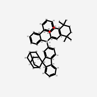 CC1(C)CCC(C)(C)c2cc(N(c3ccc4c(c3)C3(c5ccccc5-4)C4CC5CC(C4)CC3C5)c3ccccc3-c3ccccc3)ccc21